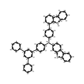 c1ccc(-c2cc(-c3ccccc3)cc(-c3ccc(N(c4ccc(-c5cccc6c5sc5ccccc56)cc4)c4ccc5c(c4)sc4ccccc45)cc3)c2)cc1